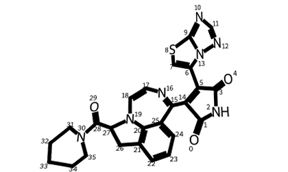 O=C1NC(=O)C(c2csc3ncnn23)=C1C1=NC=CN2c3c(cccc31)CC2C(=O)N1CCCCC1